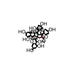 O=c1oc2cc(O)cc(O)c2c(O)c1CC(c1c(O)c2c(O)cc(O)cc2oc1=O)(c1c(O)c2c(O)cc(O)cc2oc1=O)c1c(O)c2c(O)cc(O)cc2oc1=O